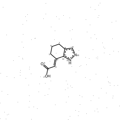 O=C(O)C=C1CCCc2cn[nH]c21